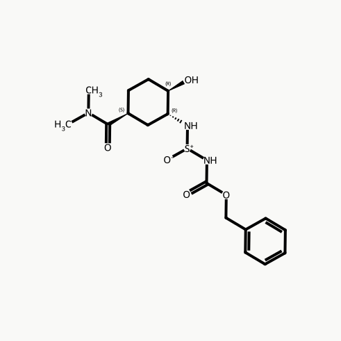 CN(C)C(=O)[C@H]1CC[C@@H](O)[C@H](N[S+]([O-])NC(=O)OCc2ccccc2)C1